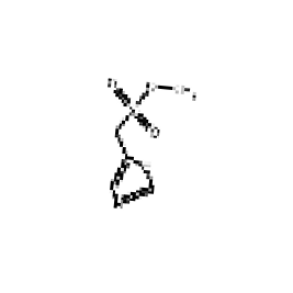 COS(=O)(=O)Cc1cnco1